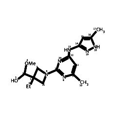 CCC1(C(O)OC)CN(c2nc(C)cc(Nc3cc(C)[nH]n3)n2)C1